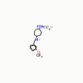 O=C(O)NC1CCCC(NCc2cccc(OC(F)(F)F)c2)CC1